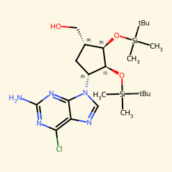 CC(C)(C)[Si](C)(C)O[C@@H]1[C@@H](CO)C[C@@H](n2cnc3c(Cl)nc(N)nc32)[C@@H]1O[Si](C)(C)C(C)(C)C